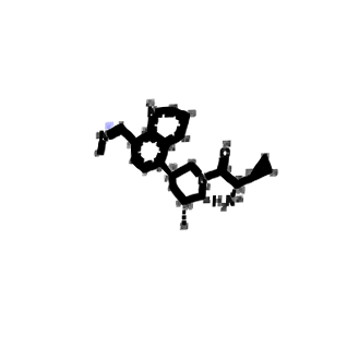 C/N=C\c1ccc([C@@H]2C[C@@H](C)CN(C(=O)[C@@H](N)C3CC3)C2)c2cccnc12